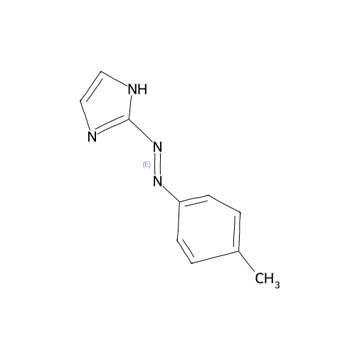 Cc1ccc(/N=N/c2ncc[nH]2)cc1